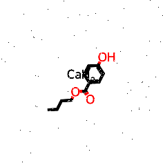 CCCCOC(=O)c1ccc(O)cc1.[CaH2]